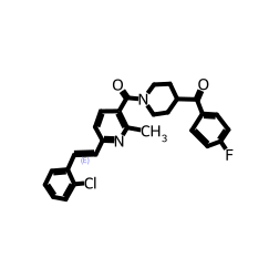 Cc1nc(/C=C/c2ccccc2Cl)ccc1C(=O)N1CCC(C(=O)c2ccc(F)cc2)CC1